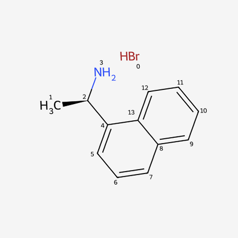 Br.C[C@@H](N)c1cccc2ccccc12